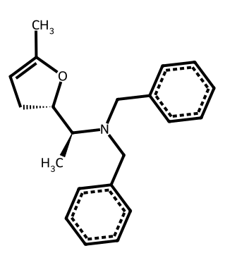 CC1=CC[C@@H]([C@H](C)N(Cc2ccccc2)Cc2ccccc2)O1